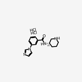 Cl.Cl.O=C(N[C@H]1CCCNC1)c1cccc(-n2ccnc2)c1